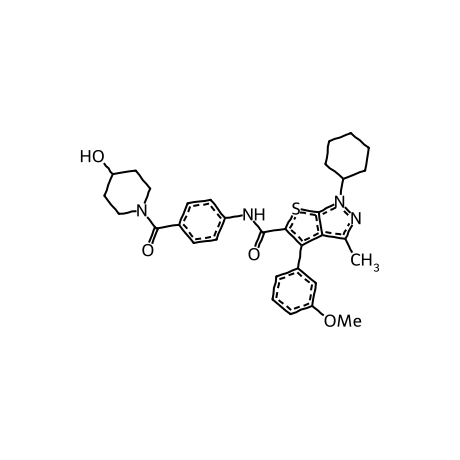 COc1cccc(-c2c(C(=O)Nc3ccc(C(=O)N4CCC(O)CC4)cc3)sc3c2c(C)nn3C2CCCCC2)c1